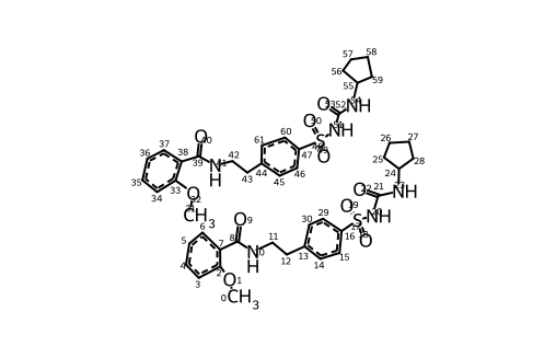 COc1ccccc1C(=O)NCCc1ccc(S(=O)(=O)NC(=O)NC2CCCC2)cc1.COc1ccccc1C(=O)NCCc1ccc(S(=O)(=O)NC(=O)NC2CCCC2)cc1